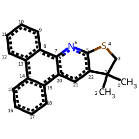 CC1(C)CSc2nc3c4ccccc4c4ccccc4c3cc21